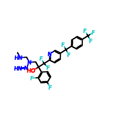 CNCN(CC(O)(c1ccc(F)cc1F)C(F)(F)c1ccc(C(F)(F)c2ccc(C(F)(F)F)cc2)cn1)N=N